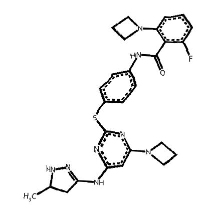 CC1CC(Nc2cc(N3CCC3)nc(Sc3ccc(NC(=O)c4c(F)cccc4N4CCC4)cc3)n2)=NN1